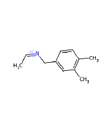 C/C=N\Cc1ccc(C)c(C)c1